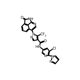 O=C(Nc1cnc(-n2cccn2)c(Cl)c1)c1cnn(-c2cnc3c4c(cccc24)C(=O)N3)c1C(F)(F)F